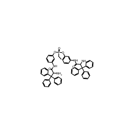 CCP(=O)(Oc1cccc(NC(=O)C(N)C(c2ccccc2)(c2ccccc2)c2ccccc2)c1)Oc1cccc(NC(=O)C(N)C(c2ccccc2)(c2ccccc2)c2ccccc2)c1